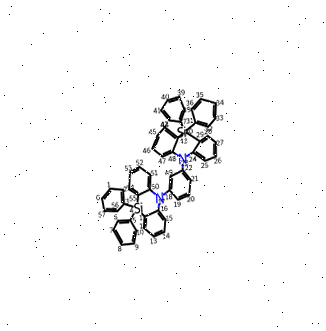 c1ccc([Si]2(c3ccccc3)c3ccccc3N(c3cccc(N4c5ccccc5[Si](c5ccccc5)(c5ccccc5)c5ccccc54)c3)c3ccccc32)cc1